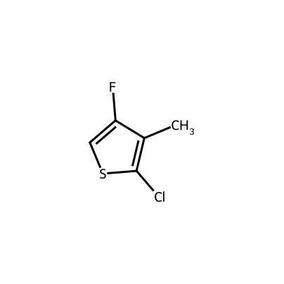 Cc1c(F)csc1Cl